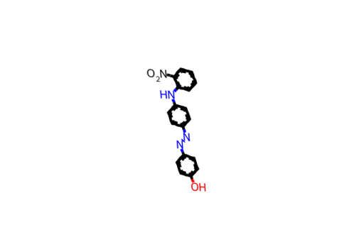 O=[N+]([O-])c1ccccc1Nc1ccc(N=Nc2ccc(O)cc2)cc1